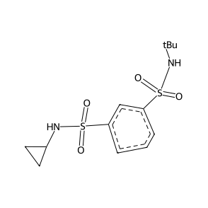 CC(C)(C)NS(=O)(=O)c1cccc(S(=O)(=O)NC2CC2)c1